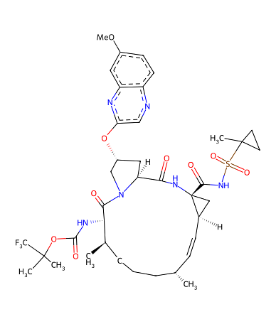 COc1ccc2ncc(O[C@@H]3C[C@H]4C(=O)N[C@]5(C(=O)NS(=O)(=O)C6(C)CC6)C[C@H]5/C=C\[C@H](C)CCC[C@@H](C)[C@H](NC(=O)OC(C)(C)C(F)(F)F)C(=O)N4C3)nc2c1